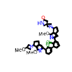 COc1nc(-c2cccc(-c3cccc(-c4cc5c(c(OC)n4)C(N4CC6(CNC(=O)C6)C4)CC5)c3Cl)c2Cl)cc2c1C(N1CC(OC)C1)CC2